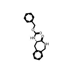 O=C(N[C@H]1Cc2ccccc2CNC1=O)OCc1ccccc1